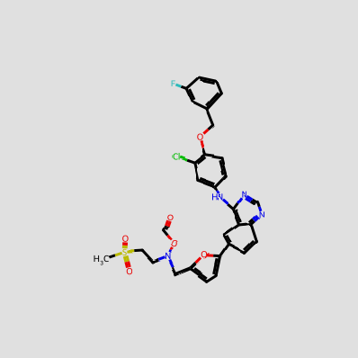 CS(=O)(=O)CCN(Cc1ccc(-c2ccc3ncnc(Nc4ccc(OCc5cccc(F)c5)c(Cl)c4)c3c2)o1)OC=O